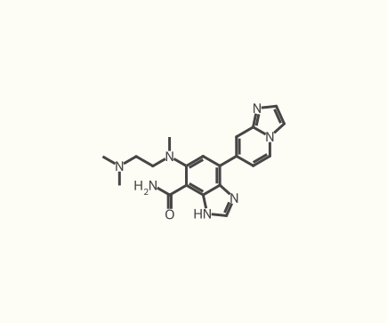 CN(C)CCN(C)c1cc(-c2ccn3ccnc3c2)c2nc[nH]c2c1C(N)=O